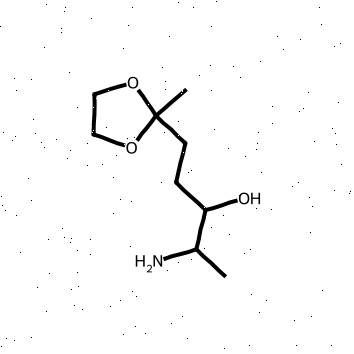 CC(N)C(O)CCC1(C)OCCO1